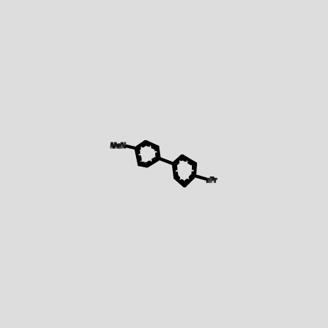 CCCc1ccc(-c2ccc(NC)cc2)cc1